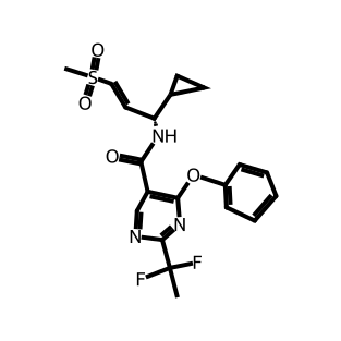 CC(F)(F)c1ncc(C(=O)N[C@H](/C=C/S(C)(=O)=O)C2CC2)c(Oc2ccccc2)n1